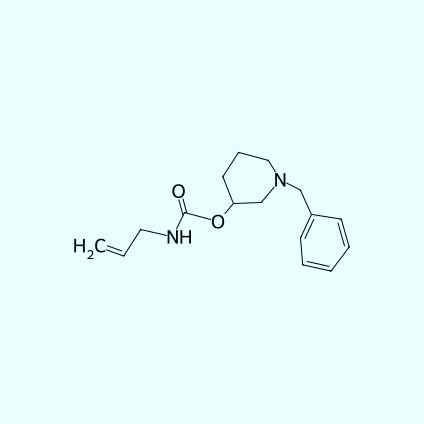 C=CCNC(=O)OC1CCCN(Cc2ccccc2)C1